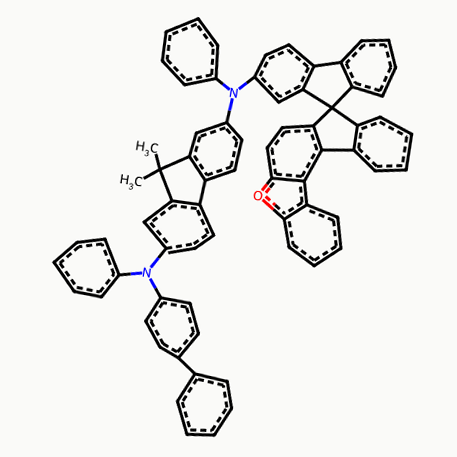 CC1(C)c2cc(N(c3ccccc3)c3ccc(-c4ccccc4)cc3)ccc2-c2ccc(N(c3ccccc3)c3ccc4c(c3)C3(c5ccccc5-4)c4ccccc4-c4c3ccc3oc5ccccc5c43)cc21